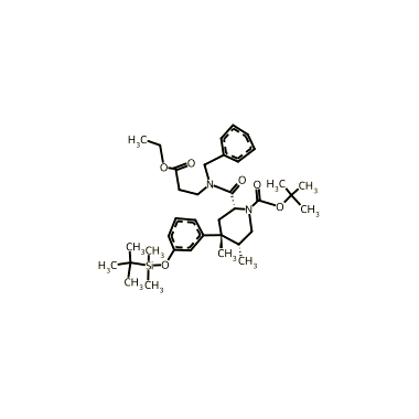 CCOC(=O)CCN(Cc1ccccc1)C(=O)[C@H]1C[C@@](C)(c2cccc(O[Si](C)(C)C(C)(C)C)c2)[C@@H](C)CN1C(=O)OC(C)(C)C